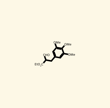 CCOC(=O)C(C=O)Cc1cc(OC)c(OC)c(OC)c1